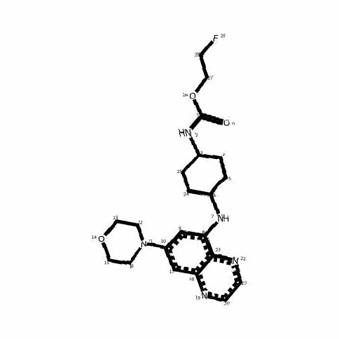 O=C(NC1CCC(Nc2cc(N3CCOCC3)cc3nccnc23)CC1)OCCF